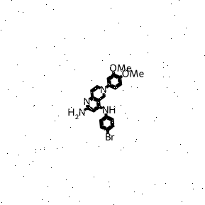 COc1ccc(N2C=Cc3nc(N)cc(Nc4ccc(Br)cc4)c3C2)cc1OC